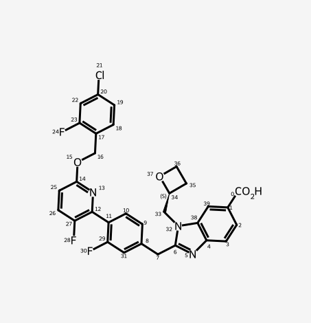 O=C(O)c1ccc2nc(Cc3ccc(-c4nc(OCc5ccc(Cl)cc5F)ccc4F)c(F)c3)n(C[C@@H]3CCO3)c2c1